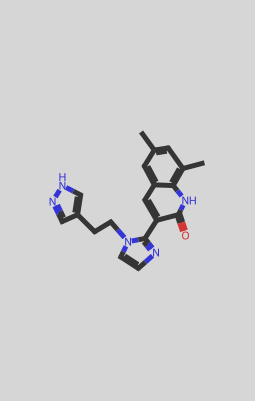 Cc1cc(C)c2[nH]c(=O)c(-c3nccn3CCc3cn[nH]c3)cc2c1